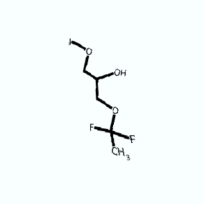 CC(F)(F)OCC(O)COI